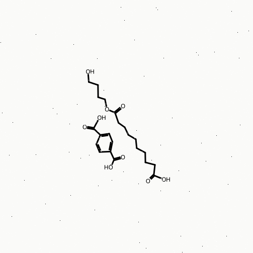 O=C(O)CCCCCCCCC(=O)OCCCCO.O=C(O)c1ccc(C(=O)O)cc1